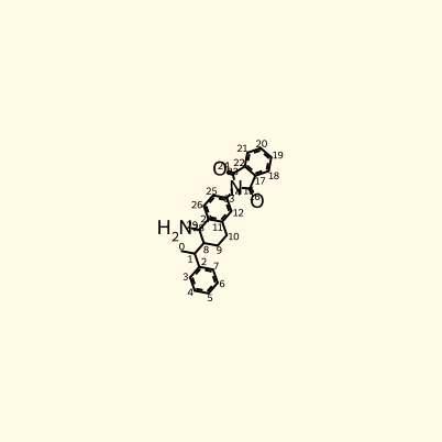 CC(c1ccccc1)C1CCc2cc(N3C(=O)c4ccccc4C3=O)ccc2C1N